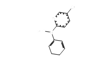 CCc1ccc(N(C)C2=CCCC=C2)nc1